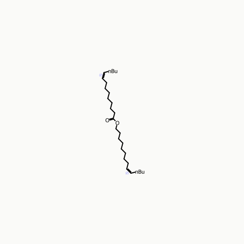 CCCC/C=C\CCCCCCCCOC(=O)CCCCCCC/C=C\CCCC